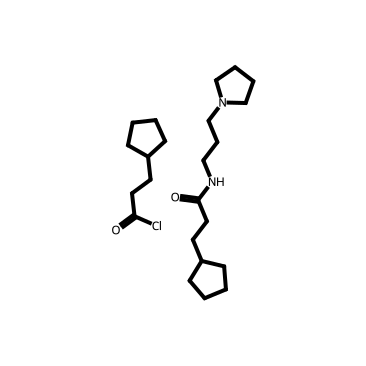 O=C(CCC1CCCC1)NCCCN1CCCC1.O=C(Cl)CCC1CCCC1